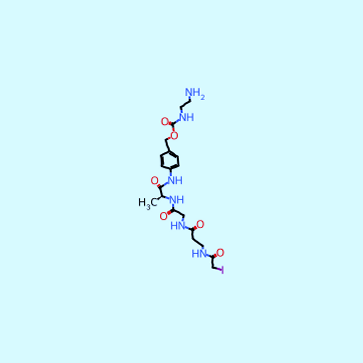 C[C@H](NC(=O)CNC(=O)CCNC(=O)CI)C(=O)Nc1ccc(COC(=O)NCCN)cc1